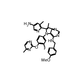 COc1ccc(CNc2ncnc3c(C)c(-c4ncc(N)cc4C)n(-c4ccc(Oc5nccc(C)n5)c(F)c4)c23)cc1